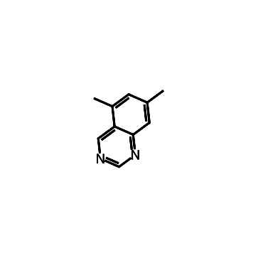 Cc1cc(C)c2cncnc2c1